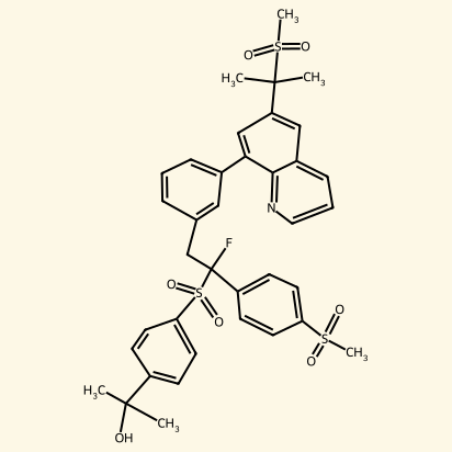 CC(C)(O)c1ccc(S(=O)(=O)C(F)(Cc2cccc(-c3cc(C(C)(C)S(C)(=O)=O)cc4cccnc34)c2)c2ccc(S(C)(=O)=O)cc2)cc1